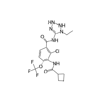 CCN1NNN=C1NC(=O)c1ccc(OC(F)(F)F)c(NC(=O)C2CCC2)c1Cl